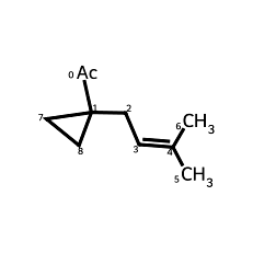 CC(=O)C1(CC=C(C)C)CC1